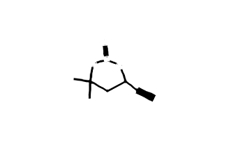 C#CC1CC(C)(C)OS(=O)O1